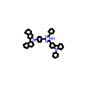 c1ccc(C2N=C(c3ccc(-n4c5cc6ccccc6cc5c5c6ccccc6ccc54)cc3)N=C(c3ccc4c(c3)c3ccccc3n4-c3ccccc3)N2)cc1